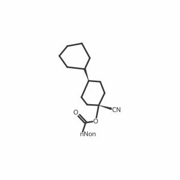 CCCCCCCCCC(=O)O[C@]1(C#N)CC[C@@H](C2CCCCC2)CC1